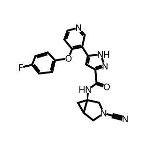 N#CN1CC2C[C@]2(NC(=O)c2cc(-c3cnccc3Oc3ccc(F)cc3)[nH]n2)C1